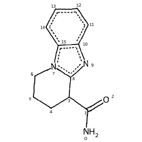 NC(=O)C1CCCn2c1nc1ccccc12